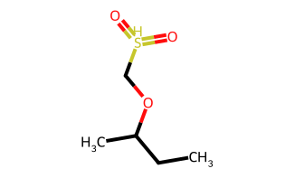 CCC(C)OC[SH](=O)=O